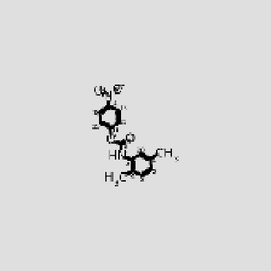 Cc1ccc(C)c(NC(=O)Oc2ccc([N+](=O)[O-])cc2)c1